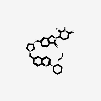 COC[C@@H]1CCCC[C@H]1c1ccc2cc(CN3CC[C@H](Oc4ccc5c(c4)CN(C4CCC(=O)NC4=O)C5=O)C3)ccc2n1